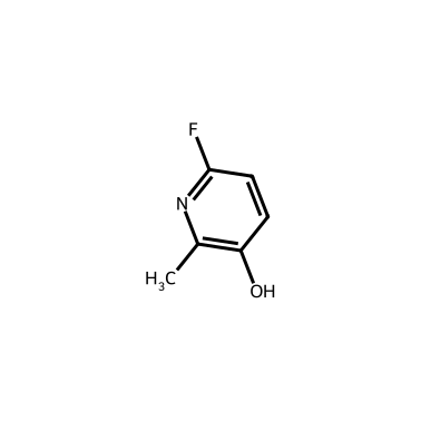 Cc1nc(F)ccc1O